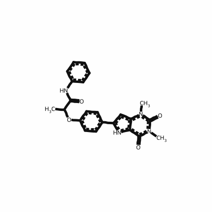 CC(Oc1ccc(-c2cc3c([nH]2)c(=O)n(C)c(=O)n3C)cc1)C(=O)Nc1ccccc1